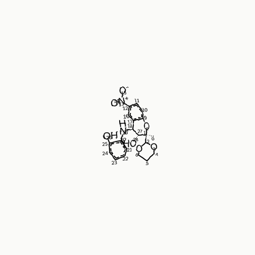 C[C@@]1(C2OCCCO2)Oc2ccc([N+](=O)[O-])cc2[C@H](Nc2ccccc2O)[C@H]1O